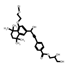 CCOCCOc1cc(C(O)C#Cc2ccc(C(=O)OCC(O)CO)cc2)cc2c1C(C)(C)CCC2(C)C